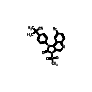 CC(C)(C#N)c1ccc(-n2c(=O)n(S(C)(=O)=O)c3cnc4ccc(Br)cc4c32)cc1